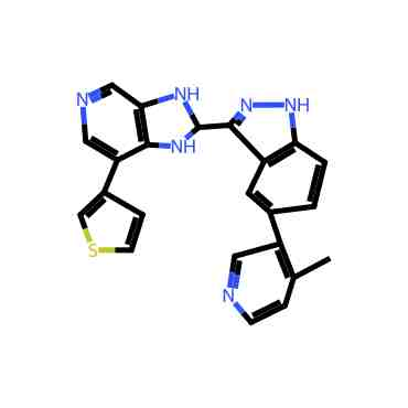 Cc1ccncc1-c1ccc2[nH]nc(C3Nc4cncc(-c5ccsc5)c4N3)c2c1